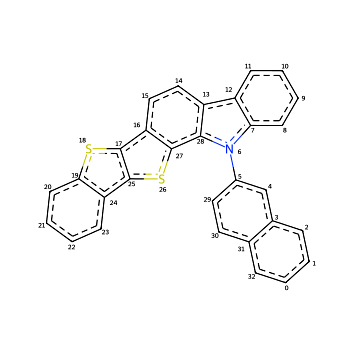 c1ccc2cc(-n3c4ccccc4c4ccc5c6sc7ccccc7c6sc5c43)ccc2c1